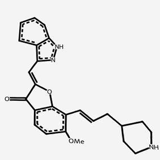 COc1ccc2c(c1/C=C/CC1CCNCC1)O/C(=C\c1n[nH]c3ccccc13)C2=O